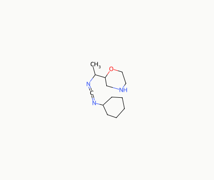 CC(N=C=NC1CCCCC1)C1CNCCO1